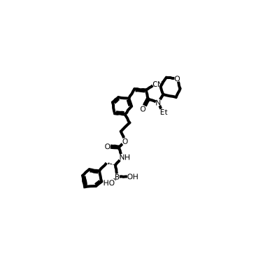 CCN(C(=O)C(C#N)=Cc1cccc(CCOC(=O)N[C@@H](Cc2ccccc2)B(O)O)c1)C1CCOCC1